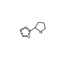 c1coc(C2CCC[N]2)c1